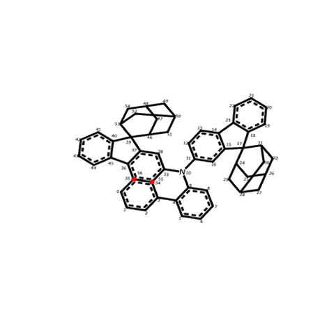 c1ccc(-c2ccccc2N(c2ccc3c(c2)C2(c4ccccc4-3)C3CC4CC(C3)CC2C4)c2ccc3c(c2)C2(c4ccccc4-3)C3CC4CC(C3)CC2C4)cc1